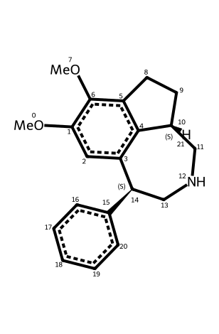 COc1cc2c3c(c1OC)CC[C@@H]3CNC[C@H]2c1ccccc1